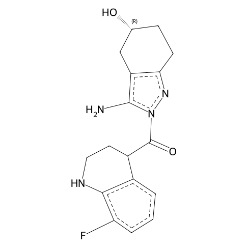 Nc1c2c(nn1C(=O)C1CCNc3c(F)cccc31)CC[C@@H](O)C2